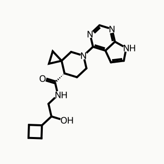 O=C(NCC(O)C1CCC1)[C@H]1CCN(c2ncnc3[nH]ccc23)CC12CC2